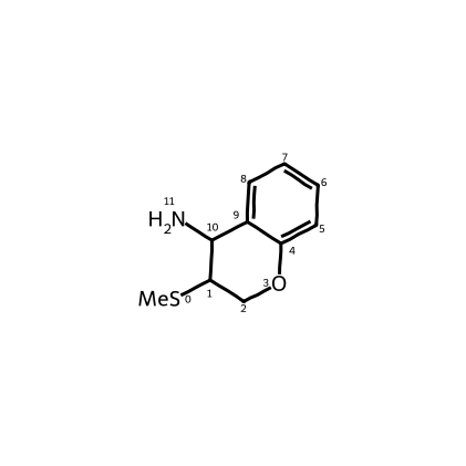 CSC1COc2ccccc2C1N